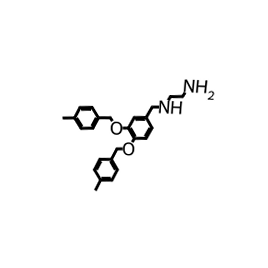 Cc1ccc(COc2ccc(CNCCN)cc2OCc2ccc(C)cc2)cc1